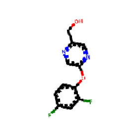 OCc1cnc(Oc2ccc(F)cc2F)cn1